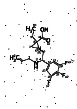 C=CCNC(C[N@@]1CC1(CC)C(=O)O)c1cc(F)c(F)c(F)c1